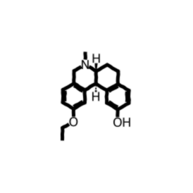 CCOc1ccc2c(c1)[C@@H]1c3cc(O)ccc3CC[C@H]1N(C)C2